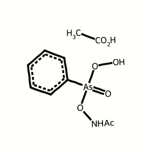 CC(=O)NO[As](=O)(OO)c1ccccc1.CC(=O)O